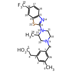 Cc1cc(CC(=O)O)cc(CN2CCN(c3nc4ccc(C(F)(F)F)cc4s3)C(C)C2)c1